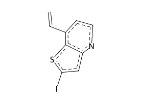 C=Cc1ccnc2cc(I)sc12